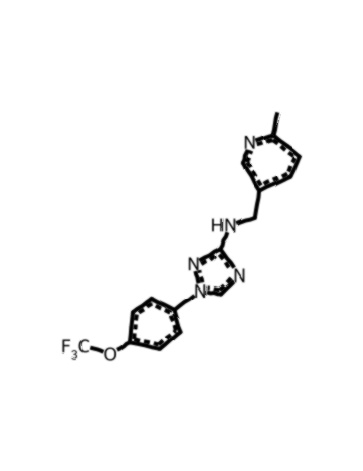 Cc1ccc(CNc2ncn(-c3ccc(OC(F)(F)F)cc3)n2)cn1